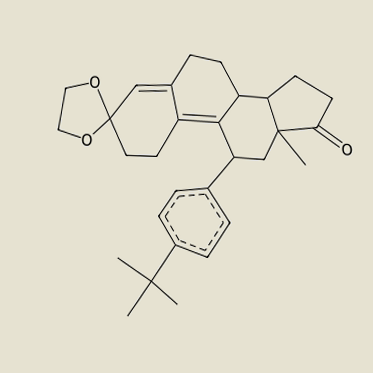 CC(C)(C)c1ccc(C2CC3(C)C(=O)CCC3C3CCC4=CC5(CCC4=C23)OCCO5)cc1